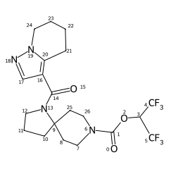 O=C(OC(C(F)(F)F)C(F)(F)F)N1CCC2(CCCN2C(=O)c2cnn3c2CCCC3)CC1